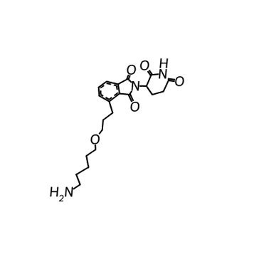 NCCCCCOCCCc1cccc2c1C(=O)N(C1CCC(=O)NC1=O)C2=O